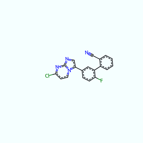 N#Cc1ccccc1-c1cc(-c2cnc3nc(Cl)ccn23)ccc1F